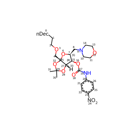 CCCCCCCCCCCCOC[C@@]12O[C@@H](CN3CCOCC3)[C@@H](OC(=O)Nc3ccc([N+](=O)[O-])cc3)[C@@H]1OC(C)(C)O2